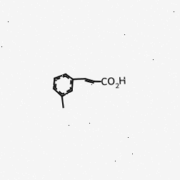 Cc1cccc(C=CC(=O)O)c1